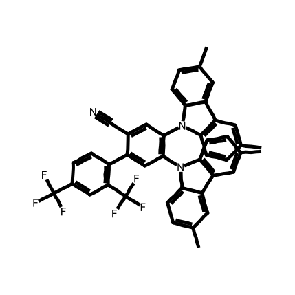 Cc1ccc2c(c1)c1cc(C)ccc1n2-c1cc(C#N)c(-c2ccc(C(F)(F)F)cc2C(F)(F)F)cc1-n1c2ccc(C)cc2c2cc(C)ccc21